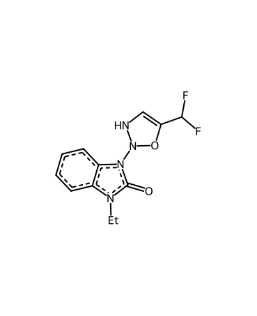 CCn1c(=O)n(N2NC=C(C(F)F)O2)c2ccccc21